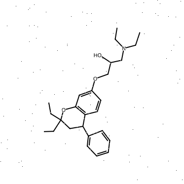 CCN(CC)CC(O)COc1ccc2c(c1)OC(CC)(CC)CC2c1ccccc1